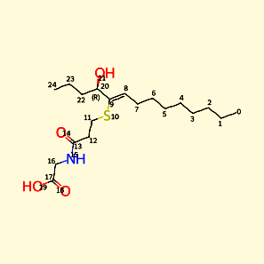 CCCCCCCCC=C(SCCC(=O)NCC(=O)O)[C@H](O)CCC